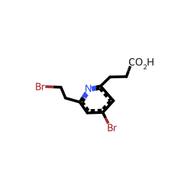 O=C(O)CCc1cc(Br)cc(CCBr)n1